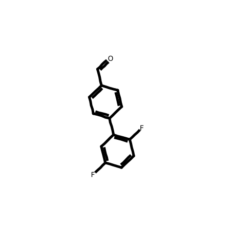 O=Cc1ccc(-c2cc(F)ccc2F)cc1